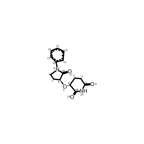 O=C1CC[C@@H](O[C@H]2CCN(c3ccccc3)C2=O)C(=O)N1